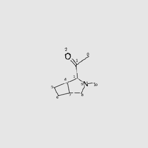 CC(=O)C1C2CCC2CN1C